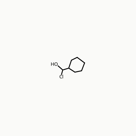 OC(Cl)C1CCCCC1